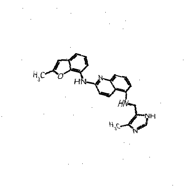 Cc1cc2cccc(Nc3ccc4c(NCc5[nH]cnc5C)cccc4n3)c2o1